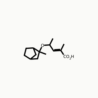 CC(=CC(C)OC1(C)CC2CCC1C2)C(=O)O